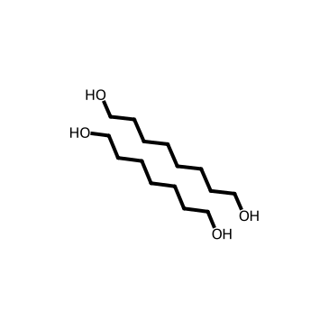 OCCCCCCCCO.OCCCCCCCO